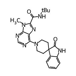 Cn1c(C(=O)NC(C)(C)C)nc2c(N3CCC4(CC3)C(=O)Nc3ccccc34)ncnc21